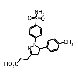 Cc1ccc(C2CC(CCC(=O)O)=NN2c2ccc(S(N)(=O)=O)cc2)cc1